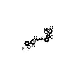 N#CC1(c2ccccc2OC(F)(F)F)CCN(C(=O)CCCOc2cccc3c2CN(C2CCC(=O)NC2=O)C3=O)CC1